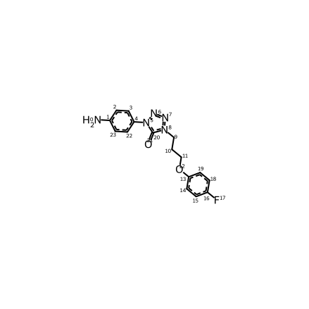 Nc1ccc(-n2nnn(CCCOc3ccc(F)cc3)c2=O)cc1